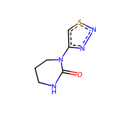 O=C1NCCCN1c1csnn1